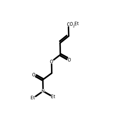 CCOC(=O)/C=C/C(=O)OCC(=O)N(CC)CC